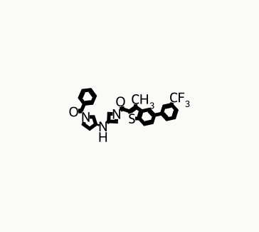 Cc1c(C(=O)N2CC(N[C@H]3CCN(C(=O)c4ccccc4)C3)C2)sc2ccc(-c3cccc(C(F)(F)F)c3)cc12